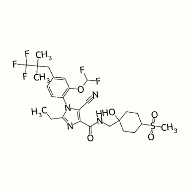 CCc1nc(C(=O)NCC2(O)CCC(S(C)(=O)=O)CC2)c(C#N)n1-c1ccc(CC(C)(C)C(F)(F)F)cc1OC(F)F